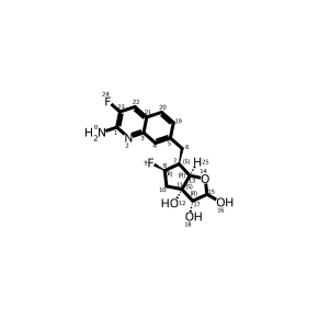 Nc1nc2cc(C[C@@H]3[C@H](F)C[C@@]4(O)[C@@H]3OC(O)[C@@H]4O)ccc2cc1F